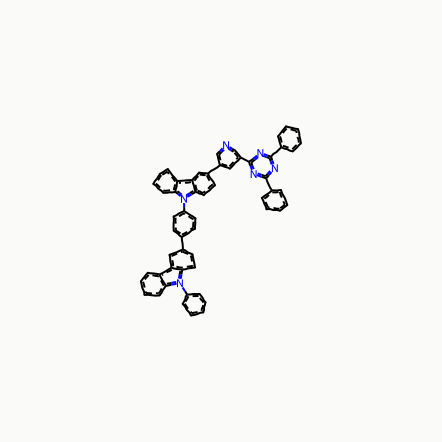 c1ccc(-c2nc(-c3ccccc3)nc(-c3cncc(-c4ccc5c(c4)c4ccccc4n5-c4ccc(-c5ccc6c(c5)c5ccccc5n6-c5ccccc5)cc4)c3)n2)cc1